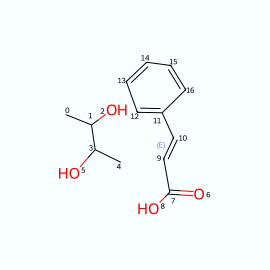 CC(O)C(C)O.O=C(O)/C=C/c1ccccc1